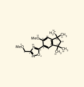 COCc1noc(-c2cc3c(cc2OC)C(C)(C)CC3(C)C)n1